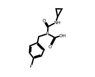 O=C(O)N(Cc1ccc(F)cc1)C(=O)NC1CC1